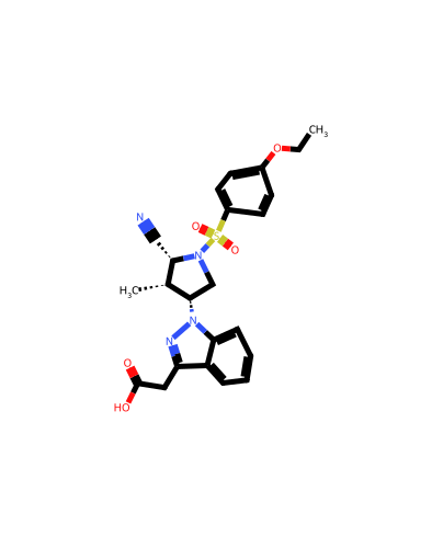 CCOc1ccc(S(=O)(=O)N2C[C@H](n3nc(CC(=O)O)c4ccccc43)[C@H](C)[C@@H]2C#N)cc1